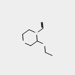 CCOC1COCCN1C=O